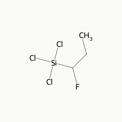 CCC(F)[Si](Cl)(Cl)Cl